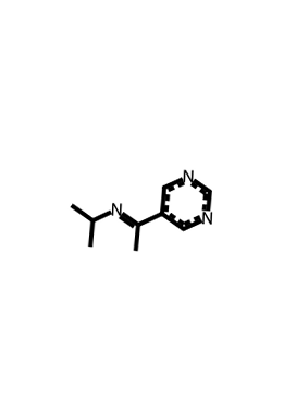 C/C(=N\C(C)C)c1cncnc1